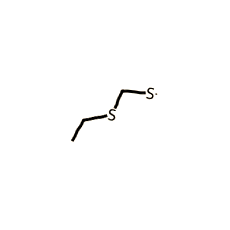 CCSC[S]